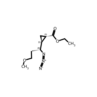 CCOC(=O)[C@H]1C[C@@H]1[C@@H](CCOC)N=[N+]=[N-]